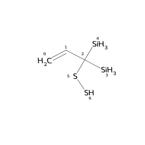 C=CC([SiH3])([SiH3])SS